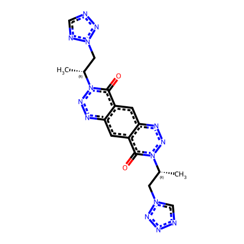 C[C@H](Cn1cnnn1)n1nnc2cc3c(=O)n([C@H](C)Cn4ncnn4)nnc3cc2c1=O